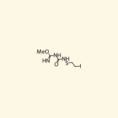 COC(=N)NC(=O)NSCCI